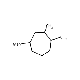 CNC1CCCN(C)C(C)C1